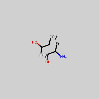 CCC(N)CO.O=C(O)CC(O)C(=O)O